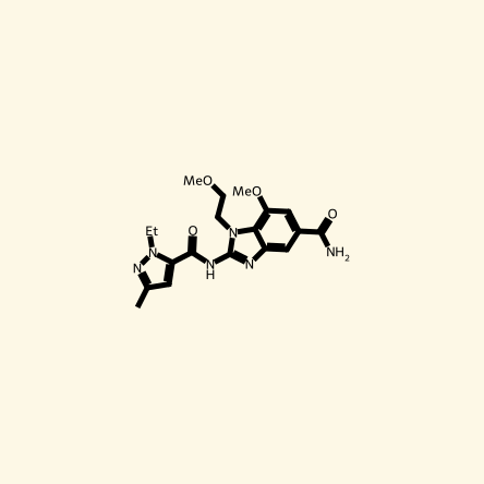 CCn1nc(C)cc1C(=O)Nc1nc2cc(C(N)=O)cc(OC)c2n1CCOC